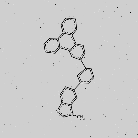 Cn1cnc2ccc(-c3cccc(-c4ccc5c6ccccc6c6ccccc6c5c4)c3)cc21